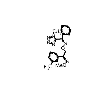 CO/N=C(/CON=C(c1ccccc1)c1nnnn1C)c1cccc(C(F)(F)F)c1